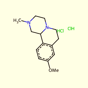 COc1ccc2c(c1)CCN1CCN(C)CC21.Cl.Cl